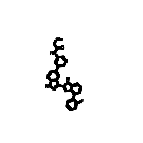 CC(C)(C)CC(=O)Nc1cncc(-c2cnc3[nH]nc(-c4cc5c(-c6ccccc6F)cccc5[nH]4)c3c2)c1